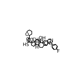 C[C@]12Cc3cnn(-c4ccc(F)cc4)c3C=C1CC[C@@H]1[C@@H]2[C@@H](O)C[C@@]2(C)[C@H]1CC[C@]2(OC(=O)C1CCCCO1)C(=O)S